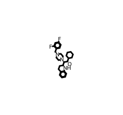 O=C(C1CCCCC1)C(C1CCc2ccccc2N1)N1CCN(Cc2ccc(F)cc2F)CC1